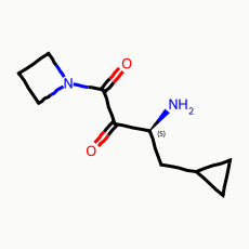 N[C@@H](CC1CC1)C(=O)C(=O)N1CCC1